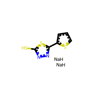 Sc1nnc(-c2cccs2)s1.[NaH].[NaH]